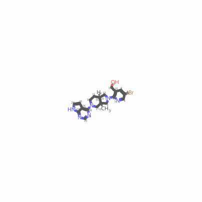 C[C@]12CN(c3ncc(Br)cc3CO)C[C@H]1CCN(c1ncnc3[nH]ccc13)C2